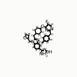 NC(=NO)c1ccc2c(c1)nc(CC1CCC(Oc3nc(Cc4ccc(Cl)cc4)ncc3F)CC1)n2CC1CCO1